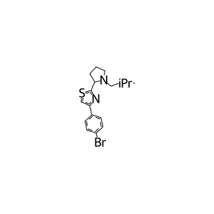 C[C](C)CN1CCCC1c1nc(-c2ccc(Br)cc2)cs1